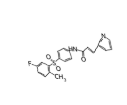 Cc1ccc(F)cc1S(=O)(=O)c1ccc(NC(=O)C=Cc2cccnc2)cc1